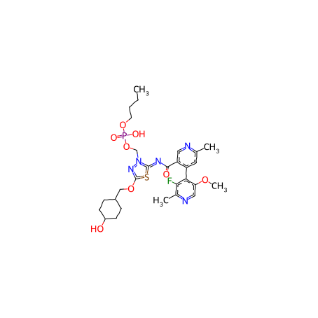 CCCCOP(=O)(O)OCn1nc(OCC2CCC(O)CC2)s/c1=N\C(=O)c1cnc(C)cc1-c1c(OC)cnc(C)c1F